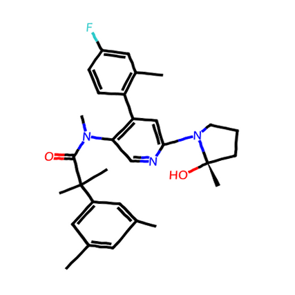 Cc1cc(C)cc(C(C)(C)C(=O)N(C)c2cnc(N3CCC[C@]3(C)O)cc2-c2ccc(F)cc2C)c1